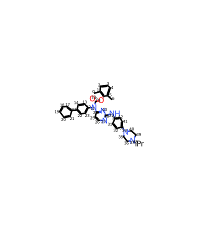 Cc1cccc(C)c1OC(=O)N(c1ccc(-c2ccccc2)cc1)c1ccnc(Nc2ccc(N3CCN(C(C)C)CC3)cc2)n1